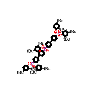 CC(C)(C)c1ccc(OP(Oc2ccc(C(C)(C)C)cc2C(C)(C)C)c2ccc(-c3ccc(P(=O)(Oc4ccc(C(C)(C)C)cc4C(C)(C)C)c4ccc(-c5ccc(P(=O)(Oc6ccc(C(C)(C)C)cc6C(C)(C)C)Oc6ccc(C(C)(C)C)cc6C(C)(C)C)cc5)cc4)cc3)cc2)c(C(C)(C)C)c1